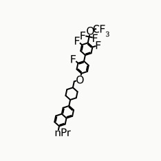 CCCc1ccc2cc(C3CCC(COc4ccc(-c5cc(F)c(C(F)(F)OC(F)(F)F)c(F)c5)c(F)c4)CC3)ccc2c1